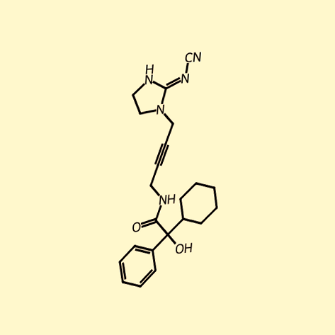 N#C/N=C1\NCCN1CC#CCNC(=O)C(O)(c1ccccc1)C1CCCCC1